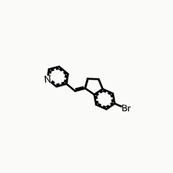 Brc1ccc2c(c1)CCC2=Cc1cccnc1